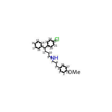 COc1ccc(CCCNCCCC(c2ccccc2)c2ccc(Cl)cc2)cc1